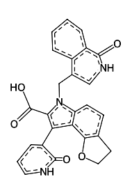 O=C(O)c1c(-c2ccc[nH]c2=O)c2c3c(ccc2n1Cc1c[nH]c(=O)c2ccccc12)CCO3